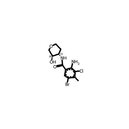 Cc1c(Br)cc(C(=O)N[C@H]2CCOC[C@@H]2O)c(N)c1Cl